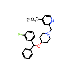 CCOC(=O)c1ccnc(CN2CCC(OC(c3ccccc3)c3cccc(F)c3)CC2)c1